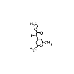 CCOC(=O)C(F)C1CC(C)OC(C)C1